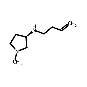 C=CCCN[C@@H]1CCN(C)C1